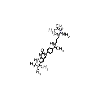 CC(C)/N=C(/N)NCCCN[C@@H](C)c1ccc(-n2cc3cc(C(C)(C)C)[nH]c3nc2=O)cc1